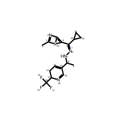 Cc1nc2c(/C(=N\NC(C)C3=CCC(C(F)(F)F)N=C3)C3CC3)n1-2